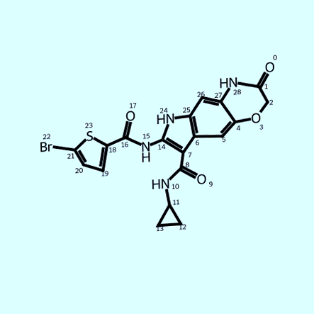 O=C1COc2cc3c(C(=O)NC4CC4)c(NC(=O)c4ccc(Br)s4)[nH]c3cc2N1